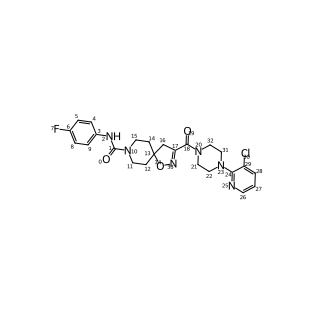 O=C(Nc1ccc(F)cc1)N1CCC2(CC1)CC(C(=O)N1CCN(c3ncccc3Cl)CC1)=NO2